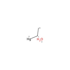 C[CH2][Hg].O